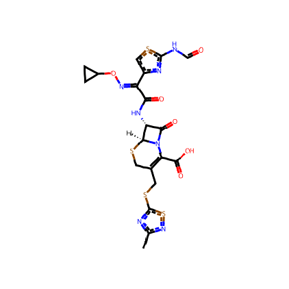 Cc1nsc(SCC2=C(C(=O)O)N3C(=O)[C@@H](NC(=O)C(=NOC4CC4)c4csc(NC=O)n4)[C@@H]3SC2)n1